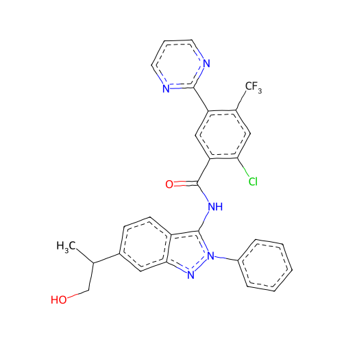 CC(CO)c1ccc2c(NC(=O)c3cc(-c4ncccn4)c(C(F)(F)F)cc3Cl)n(-c3ccccc3)nc2c1